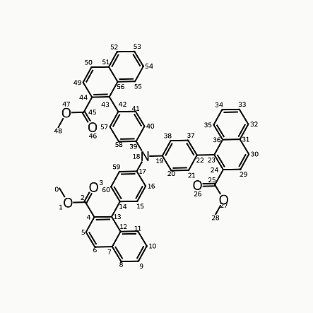 COC(=O)c1ccc2ccccc2c1-c1ccc(N(c2ccc(-c3c(C(=O)OC)ccc4ccccc34)cc2)c2ccc(-c3c(C(=O)OC)ccc4ccccc34)cc2)cc1